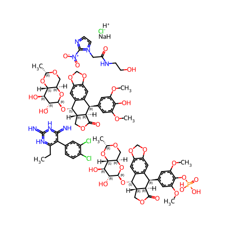 CCc1[nH]c(=N)[nH]c(=N)c1-c1ccc(Cl)c(Cl)c1.COc1cc([C@@H]2c3cc4c(cc3[C@@H](O[C@@H]3O[C@@H]5CO[C@@H](C)O[C@H]5[C@H](O)[C@H]3O)[C@H]3COC(=O)[C@H]23)OCO4)cc(OC)c1O.COc1cc([C@@H]2c3cc4c(cc3[C@@H](O[C@@H]3O[C@@H]5CO[C@@H](C)O[C@H]5[C@H](O)[C@H]3O)[C@H]3COC(=O)[C@H]23)OCO4)cc(OC)c1OP(=O)(O)O.O=C(Cn1ccnc1[N+](=O)[O-])NCCO.[Cl-].[H+].[NaH]